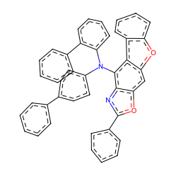 c1ccc(-c2ccc(N(c3ccccc3-c3ccccc3)c3c4nc(-c5ccccc5)oc4cc4oc5ccccc5c34)cc2)cc1